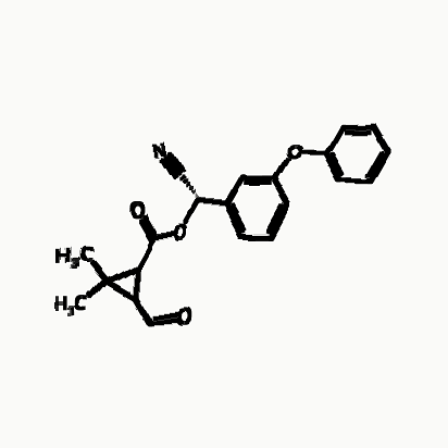 CC1(C)C(C=O)C1C(=O)O[C@H](C#N)c1cccc(Oc2ccccc2)c1